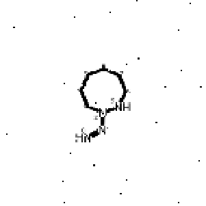 N=NN1CCCCCCN1